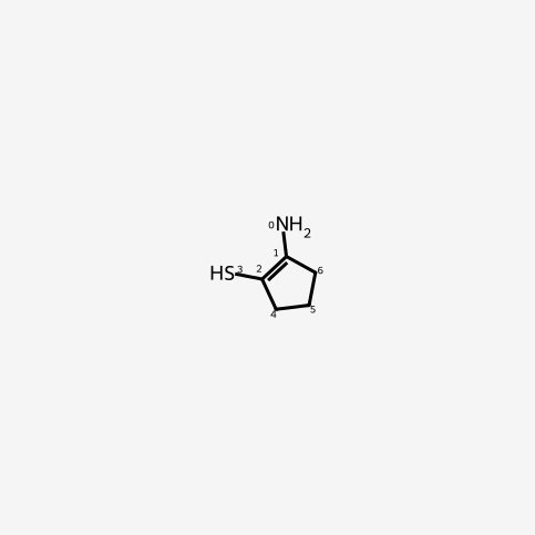 NC1=C(S)CCC1